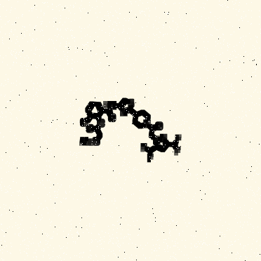 COCC(=O)Oc1c(Cl)cccc1C(=O)Nc1csc(C2CCN(C(=O)Cn3nc(C(F)F)cc3C(F)F)CC2)n1